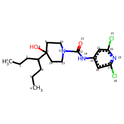 CCCC(CCC)C1(O)CCN(C(=O)Nc2cc(Cl)nc(Cl)c2)CC1